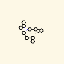 CC1(C)c2ccccc2-c2ccc(-c3ccc(N(c4cccc(-c5cccc(-c6cccc7ccccc67)c5)c4)c4cc5c(c6ccccc46)C=CCC5)cc3)cc21